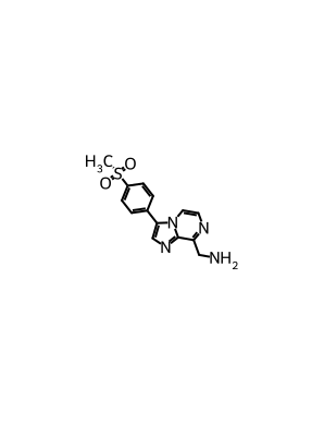 CS(=O)(=O)c1ccc(-c2cnc3c(CN)nccn23)cc1